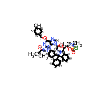 Cc1ccc(COc2nc(NC(=O)C(C)C)nc3c2ncn3[C@H]2CN(C(c3ccccc3)(c3ccccc3)c3ccccc3)C[C@@H](CO[P@](=O)(Cl)N(C)C)O2)cc1